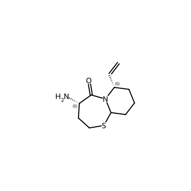 C=C[C@@H]1CCCC2SCC[C@H](N)C(=O)N21